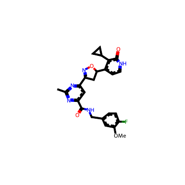 COc1cc(CNC(=O)c2cc(C3=NOC(c4cc[nH]c(=O)c4C4CC4)C3)nc(C)n2)ccc1F